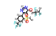 CCS(=O)(=O)c1cc(C(F)(F)F)ccc1-c1cc(OCC(F)(F)C(C)F)ncn1